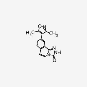 Cc1noc(C)c1-c1ccc2ccn3c(=O)[nH]nc3c2c1